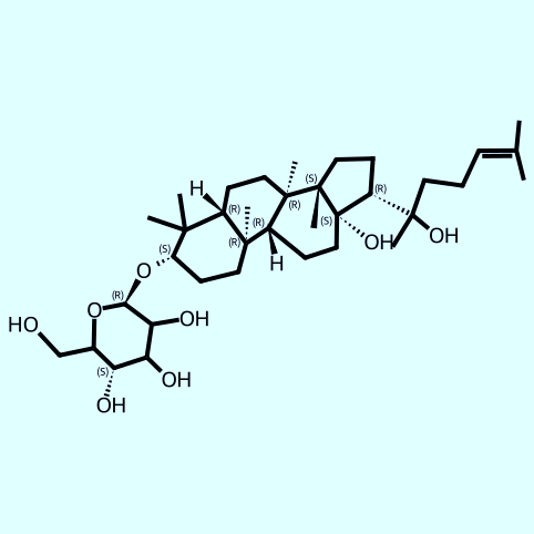 CC(C)=CCCC(C)(O)[C@H]1CC[C@@]2(C)[C@]3(C)CC[C@H]4C(C)(C)[C@@H](O[C@@H]5OC(CO)[C@@H](O)C(O)C5O)CC[C@]4(C)[C@H]3CC[C@]12O